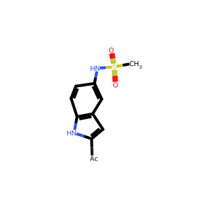 CC(=O)c1cc2cc(NS(C)(=O)=O)ccc2[nH]1